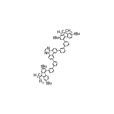 CC(C)(C)c1ccc2c(c1)C(C)(C)c1cc(C(C)(C)C)cc(-c3cccc(-c4cccc(-c5ccc6c(c5)c5cc(-c7cccc(-c8cccc(-c9cc(C(C)(C)C)cc%10c9-c9ccc(C(C)(C)C)cc9C%10(C)C)c8)c7)ccc5c5nccnc65)c4)c3)c1-2